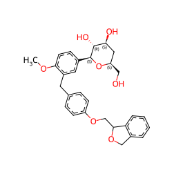 COc1ccc([C@@H]2O[C@H](CO)C[C@H](O)[C@H]2O)cc1Cc1ccc(OCC2OCc3ccccc32)cc1